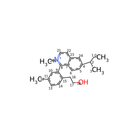 CCC(C)c1ccc2c(-c3cc(C)ccc3CCO)[n+](C)ccc2c1